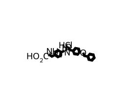 Cl.N[C@@H](Cc1ccc(-c2noc(-c3ccc(OCc4ccccc4)cc3)n2)cc1)C(=O)O